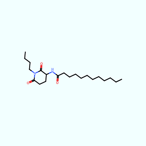 CCCCCCCCCCCC(=O)NC1CCC(=O)N(CCCC)C1=O